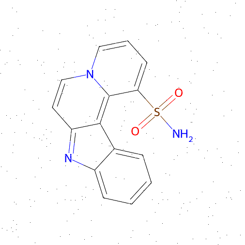 NS(=O)(=O)c1cccn2ccc3nc4ccccc4c-3c12